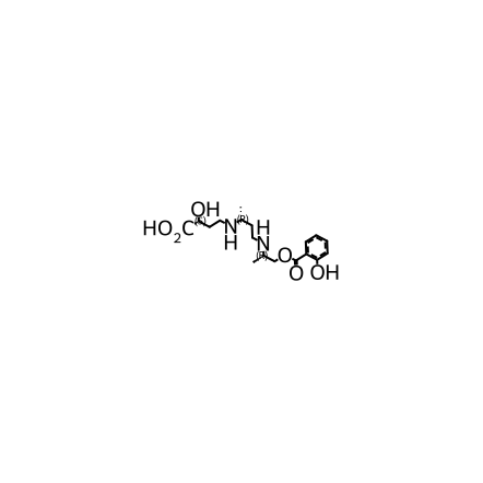 C[C@H](CCN[C@H](C)COC(=O)c1ccccc1O)NCC[C@H](O)C(=O)O